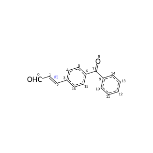 O=C/C=C/c1ccc(C(=O)c2ccccc2)cc1